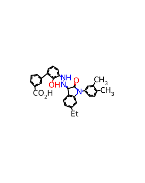 CCc1ccc2c(c1)N(c1ccc(C)c(C)c1)C(=O)C2=NNc1cccc(-c2cccc(C(=O)O)c2)c1O